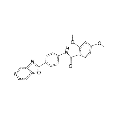 COc1ccc(C(=O)Nc2ccc(-c3nc4cnccc4o3)cc2)c(OC)c1